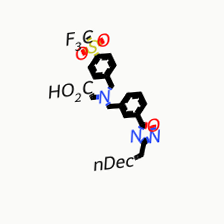 CCCCCCCCCCCc1noc(-c2cccc(CN(CC(=O)O)Cc3ccc(S(=O)(=O)C(F)(F)F)cc3)c2)n1